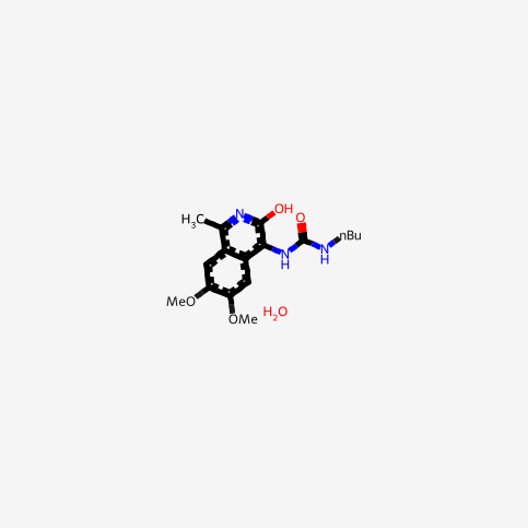 CCCCNC(=O)Nc1c(O)nc(C)c2cc(OC)c(OC)cc12.O